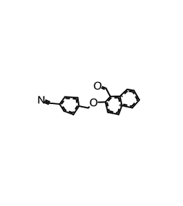 N#Cc1ccc(COc2ccc3ccccc3c2C=O)cc1